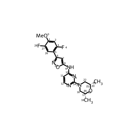 COc1cc(F)c(-c2cc(Nc3ccnc(N4C[C@@H](C)O[C@@H](C)C4)n3)on2)cc1F